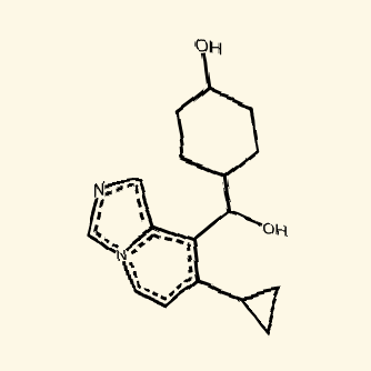 OC1CCC(C(O)c2c(C3CC3)ccn3cncc23)CC1